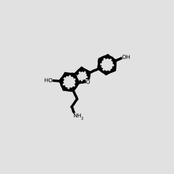 NCCc1cc(O)cc2cc(-c3ccc(O)cc3)oc12